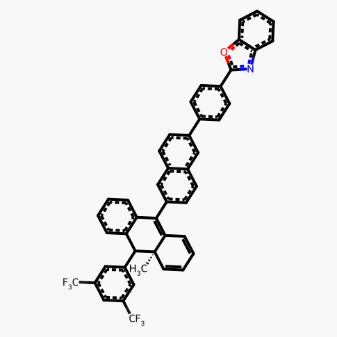 C[C@@]12C=CC=CC1=C(c1ccc3cc(-c4ccc(-c5nc6ccccc6o5)cc4)ccc3c1)c1ccccc1C2c1cc(C(F)(F)F)cc(C(F)(F)F)c1